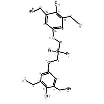 CC[Si](CC)(COc1cc(CC(C)C)c(O)c(CC(C)C)c1)COc1cc(CC(C)C)c(O)c(CC(C)C)c1